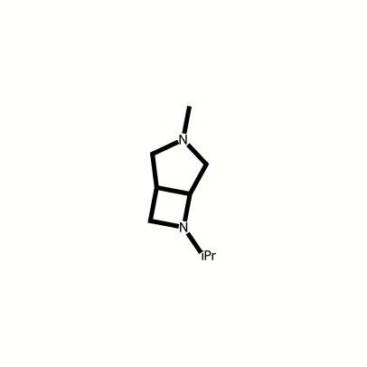 CC(C)N1CC2CN(C)CC21